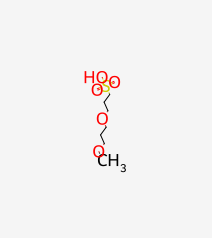 COCCCOCCCS(=O)(=O)O